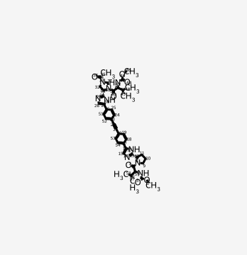 COC(=O)NC(C(=O)N1CCC[C@H]1c1ncc(-c2ccc(C#Cc3ccc(-c4cnc([C@@H]5CN(C(C)=O)CN5C(=O)[C@@H](NC(=O)OC)C(C)C)[nH]4)cc3)cc2)[nH]1)C(C)C